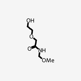 COCNC(=O)COCCO